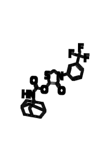 O=C(NC12CC3CC(CC(C3)C1)C2)OC1SCN(c2cccc(C(F)(F)F)c2)C1=O